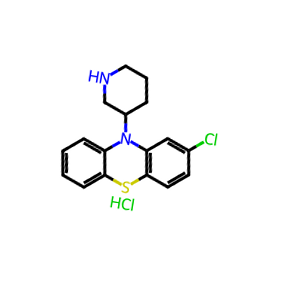 Cl.Clc1ccc2c(c1)N(C1CCCNC1)c1ccccc1S2